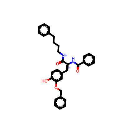 O=C(NCCCCc1ccccc1)/C(=C\c1ccc(O)c(OCc2ccccc2)c1)NC(=O)c1ccccc1